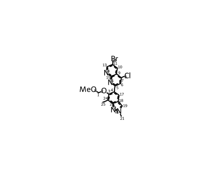 COCOc1c(-c2cc(Cl)c3cc(Br)cnc3n2)cc2cn(C)nc2c1C